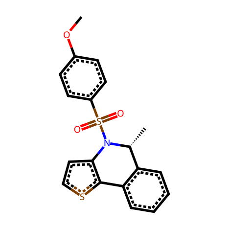 COc1ccc(S(=O)(=O)N2c3ccsc3-c3ccccc3[C@H]2C)cc1